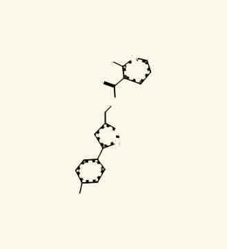 Cc1ccc(-c2cc(COC(=O)c3cccnc3Cl)on2)cc1